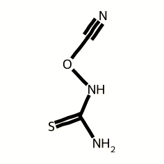 N#CONC(N)=S